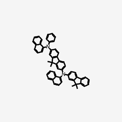 CC1(C)c2ccccc2-c2ccc(N(c3ccc4c(c3)C(C)(C)c3cc(N(c5ccccc5)c5cccc6ccccc56)ccc3-4)c3cccc4ccccc34)cc21